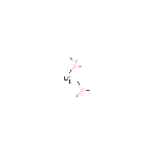 C[BH-](C)C.C[BH-](C)C.[Li+].[Li+]